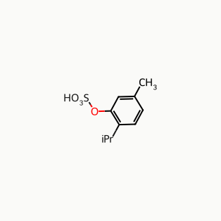 Cc1ccc(C(C)C)c(OS(=O)(=O)O)c1